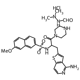 CN(C)NC=O.COc1ccc2ccc(S(=O)(=O)NC(Cc3cc4c(N)nccc4s3)C(=O)N3CCNCC3)cc2c1.Cl